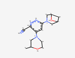 CC1CN(c2cc(N3CC4CC(C3)O4)nnc2C#N)CCO1